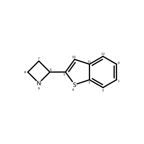 c1ccc2sc(C3CC[N]3)cc2c1